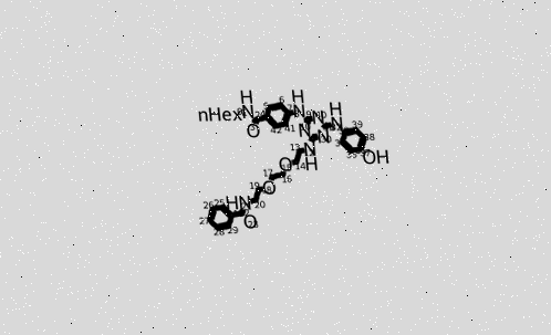 CCCCCCNC(=O)c1ccc(Nc2nc(NCCOCCOCCNC(=O)c3ccccc3)nc(Nc3ccc(O)cc3)n2)cc1